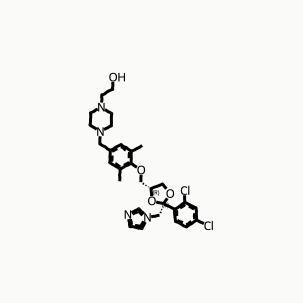 Cc1cc(CN2CCN(CCO)CC2)cc(C)c1OC[C@@H]1CO[C@@](Cn2ccnc2)(c2ccc(Cl)cc2Cl)O1